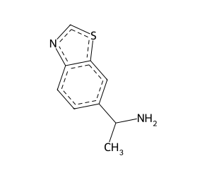 CC(N)c1ccc2ncsc2c1